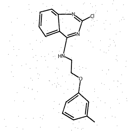 Cc1cccc(OCCNc2nc(Cl)nc3ccccc23)c1